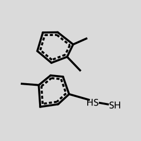 Cc1ccc(C)cc1.Cc1ccccc1C.SS